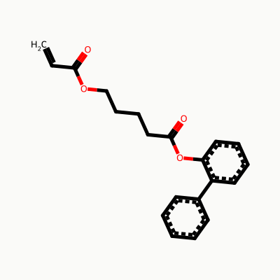 C=CC(=O)OCCCCC(=O)Oc1ccccc1-c1ccccc1